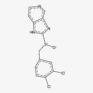 [O-][S+](Cc1ccc(Cl)c(Cl)c1)c1nc2cnccc2[nH]1